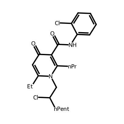 CCCCCC(Cl)Cn1c(CC)cc(=O)c(C(=O)Nc2ccccc2Cl)c1CCC